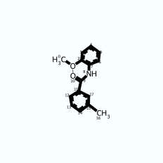 COc1ccccc1NC(=O)c1cccc(C)c1